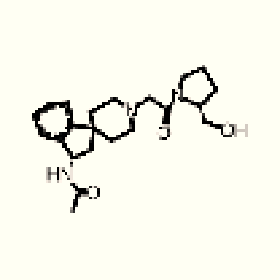 CC(=O)N[C@H]1CC2(CCN(CC(=O)N3CCC[C@H]3CO)CC2)c2ccccc21